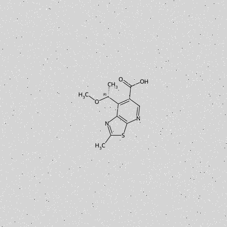 CO[C@H](C)c1c(C(=O)O)cnc2sc(C)nc12